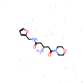 N[C@@H](CC(=O)NCc1ccco1)CC(=O)N1CCOCC1